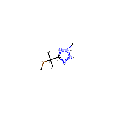 CSC(C)(C)c1nnn(C)n1